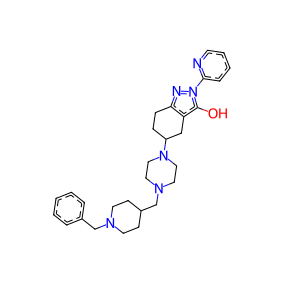 Oc1c2c(nn1-c1ccccn1)CCC(N1CCN(CC3CCN(Cc4ccccc4)CC3)CC1)C2